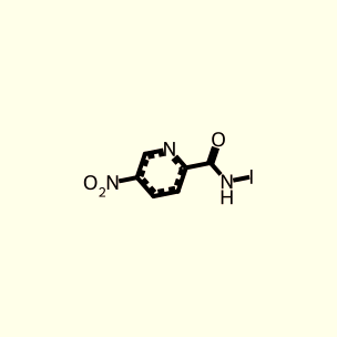 O=C(NI)c1ccc([N+](=O)[O-])cn1